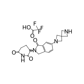 O=C(O)C(F)(F)F.O=C1CC[C@@H](N2Cc3ccc(N4CC5(CNC5)C4)cc3C2=O)C(=O)N1